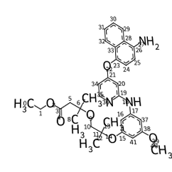 CCOC(=O)CC(C)(C)OCC(C)(C)Oc1cc(Nc2cc(Oc3ccc(N)c4ccccc34)ccn2)cc(OC)c1